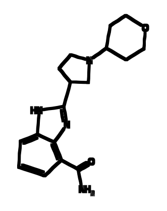 NC(=O)c1cccc2[nH]c(C3CCN(C4CCOCC4)C3)nc12